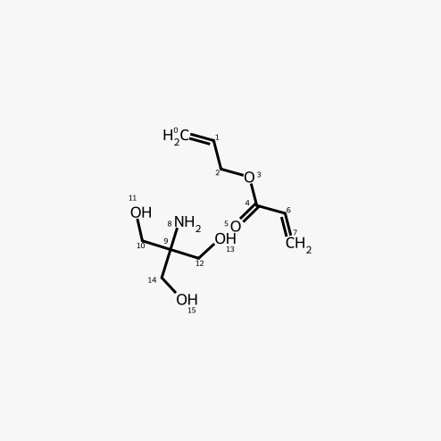 C=CCOC(=O)C=C.NC(CO)(CO)CO